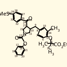 CCOC(=O)C(C)(C)Oc1ccc(CC2CN(C(=O)Oc3ccccc3)CC2C(=O)c2ccc(SC)cc2)cc1C